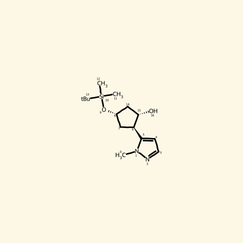 Cn1nccc1[C@H]1C[C@H](O[Si](C)(C)C(C)(C)C)C[C@@H]1O